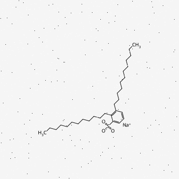 CCCCCCCCCCCCc1cccc(S(=O)(=O)[O-])c1CCCCCCCCCCCC.[Na+]